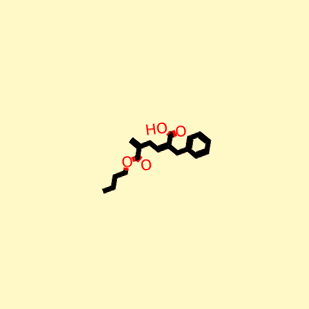 C=C(CC=C(Cc1ccccc1)C(=O)O)C(=O)OCCCC